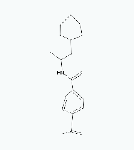 C=C(C)c1ccc(C(=C)NC(C)CC2CCCCC2)cc1